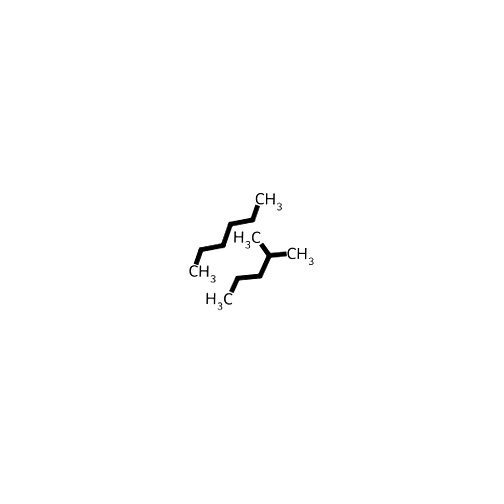 CCCC(C)C.CCCCCC